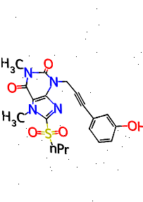 CCCS(=O)(=O)c1nc2c(c(=O)n(C)c(=O)n2CC#Cc2cccc(O)c2)n1C